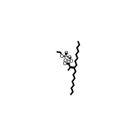 CCCCCCCCC(CCCCCCCC)=C(C)C(=O)OOP(=O)(O)OCC